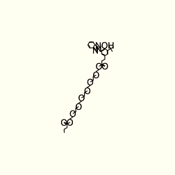 CCCC(=O)OCCOCCOCCOCCOCCOCCOCCOC(=O)CCc1cc(-n2nc3ccccc3n2)c(O)c(C(C)(C)C)c1